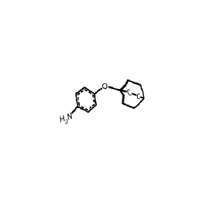 Nc1ccc(OC23CCC(CC2)CC3)cc1